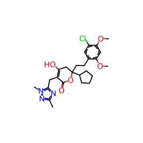 COc1cc(OC)c(CCC2(C3CCCC3)CC(O)=C(Cc3nc(C)nn3C)C(=O)O2)cc1Cl